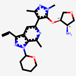 C=Cc1nn(C2CCCCO2)c2c(C)nc(-c3c(C)nn(C)c3O[C@H]3COC[C@H]3N)cc12